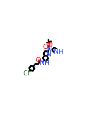 CC(C)(C)OC(=O)N(c1ccc2cc(NC(=O)/C=C/c3ccc(Cl)cc3)ccc2n1)C1CCNC1